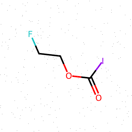 O=C(I)OCCF